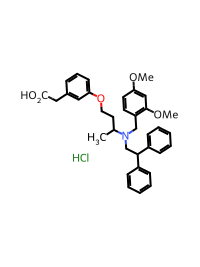 COc1ccc(CN(CC(c2ccccc2)c2ccccc2)C(C)CCOc2cccc(CC(=O)O)c2)c(OC)c1.Cl